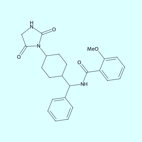 COc1ccccc1C(=O)NC(c1ccccc1)C1CCC(N2C(=O)CNC2=O)CC1